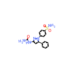 NC(=O)Nc1cc(-c2ccccc2)n(-c2ccc(S(N)(=O)=O)cc2)n1